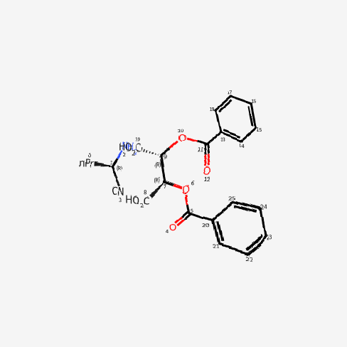 CCC[C@@H](N)C#N.O=C(O[C@@H](C(=O)O)[C@@H](OC(=O)c1ccccc1)C(=O)O)c1ccccc1